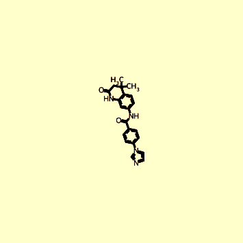 CC1(C)CC(=O)Nc2cc(NC(=O)c3ccc(-n4ccnc4)cc3)ccc21